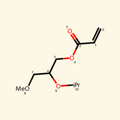 C=CC(=O)OCC(COC)OC(C)C